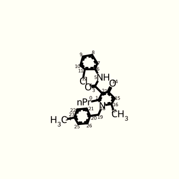 CCCc1c(C(=O)Nc2ccccc2Cl)c(=O)cc(C)n1Cc1ccc(C)cc1